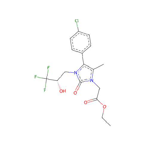 CCOC(=O)Cn1c(C)c(-c2ccc(Cl)cc2)n(C[C@H](O)C(F)(F)F)c1=O